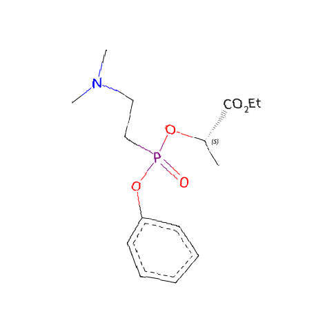 CCOC(=O)[C@H](C)OP(=O)(CCN(C)C)Oc1ccccc1